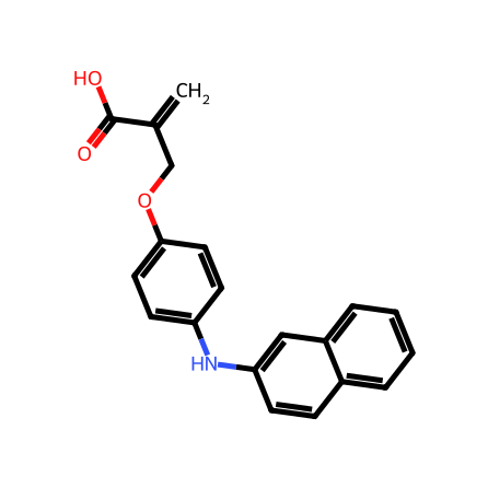 C=C(COc1ccc(Nc2ccc3ccccc3c2)cc1)C(=O)O